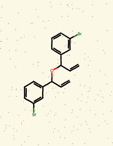 C=CC(OC(C=C)c1cccc(Br)c1)c1cccc(Br)c1